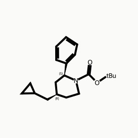 CC(C)(C)OC(=O)N1CC[C@@H](CC2CC2)C[C@H]1c1ccccc1